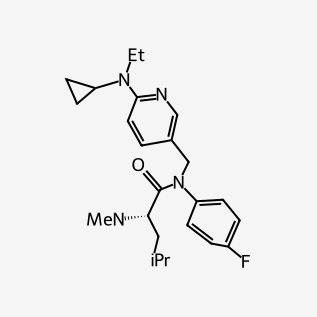 CCN(c1ccc(CN(C(=O)[C@H](CC(C)C)NC)c2ccc(F)cc2)cn1)C1CC1